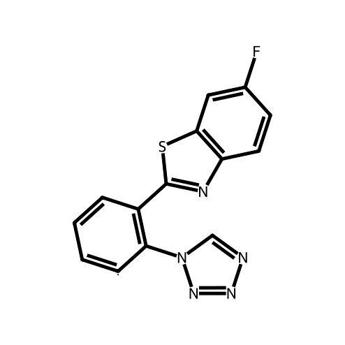 Fc1ccc2nc(-c3ccc[c]c3-n3cnnn3)sc2c1